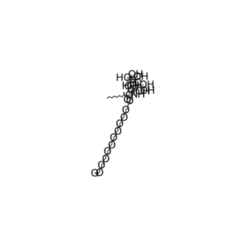 C=C(CCCCCCC)C(=O)OC(COCCCOCCOCCOCCOCCOCCOCCOCCOCCOCCOC(C)=O)NC(=O)C(O)C(O)C(O[C@@H]1OC(CO)[C@H](O)[C@H](O)C1O)C(O)CO